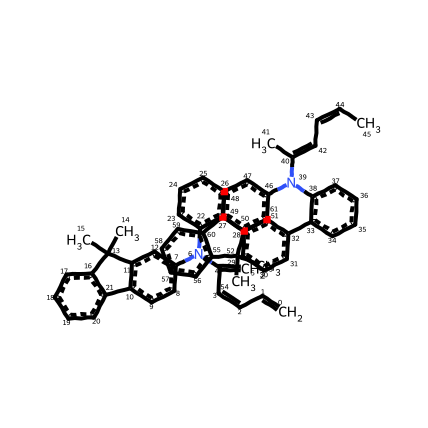 C=C/C=C\C(=C)N(c1ccc2c(c1)C(C)(C)c1ccccc1-2)c1ccccc1-c1cccc(-c2ccccc2N(/C(C)=C/C=C\C)c2ccc3c(c2)C(C)(C)c2ccccc2-3)c1